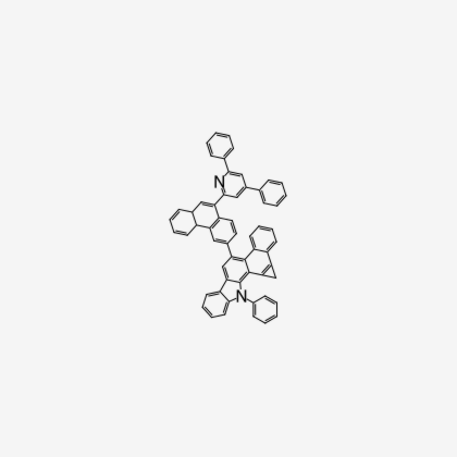 C1=CC2C=C(c3cc(-c4ccccc4)cc(-c4ccccc4)n3)c3ccc(-c4cc5c6ccccc6n(-c6ccccc6)c5c5c6c(c7ccccc7c45)C6)cc3C2C=C1